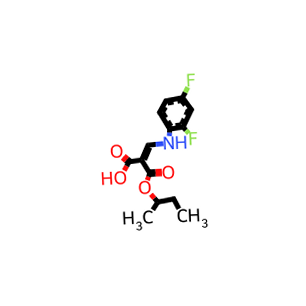 CCC(C)OC(=O)C(=CNc1ccc(F)cc1F)C(=O)O